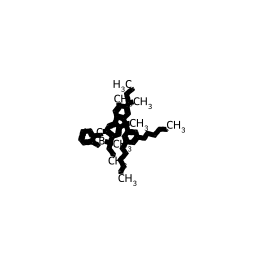 CCCCCCc1cc(CCCCCC)cc(C2(C)c3cc(C(C)CCC)c(C)cc3-c3cc(C)c(C(C)(CCC)B4Cc5ccccc5C4)cc32)c1